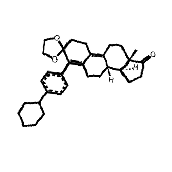 C[C@]12CCC3=C4CCC5(OCCO5)C(c5ccc(C6CCCCC6)cc5)=C4CC[C@H]3[C@@H]1CCC2=O